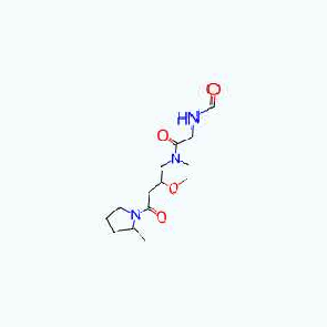 COC(CC(=O)N1CCCC1C)CN(C)C(=O)CNC=O